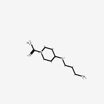 CCCCOC1CCN(C(C)=O)CC1